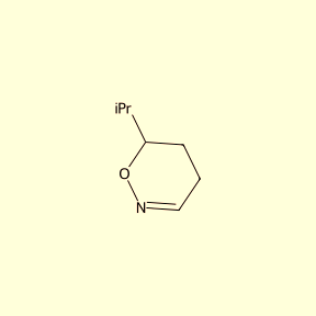 CC(C)C1CCC=NO1